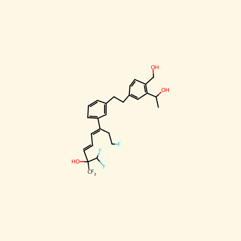 CC(O)c1cc(CCc2cccc(C(=CC=CC(O)(C(F)F)C(F)(F)F)CCF)c2)ccc1CO